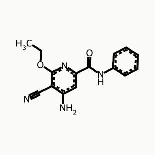 CCOc1nc(C(=O)Nc2ccccc2)cc(N)c1C#N